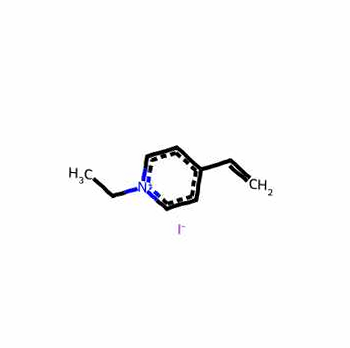 C=Cc1cc[n+](CC)cc1.[I-]